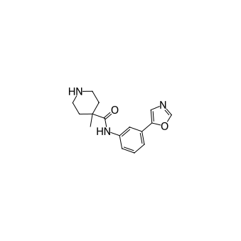 CC1(C(=O)Nc2cccc(-c3cnco3)c2)CCNCC1